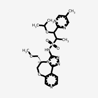 COC[C@H]1COc2cnccc2-c2nnc(NS(=O)(=O)C(C)C(OC(C)C)c3ncc(C)cn3)n21